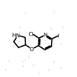 Clc1nc(I)ccc1OC1CCNC1